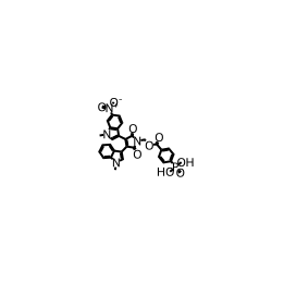 Cn1cc(C2=C(c3cn(C)c4cc([N+](=O)[O-])ccc34)C(=O)N(COC(=O)c3ccc(P(=O)(O)O)cc3)C2=O)c2ccccc21